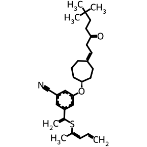 C=C/C=C(/C)SC(=C)c1cc(C#N)cc(O[C@H]2CCC/C(=C\CC(=O)CCC(C)(C)C)CC2)c1